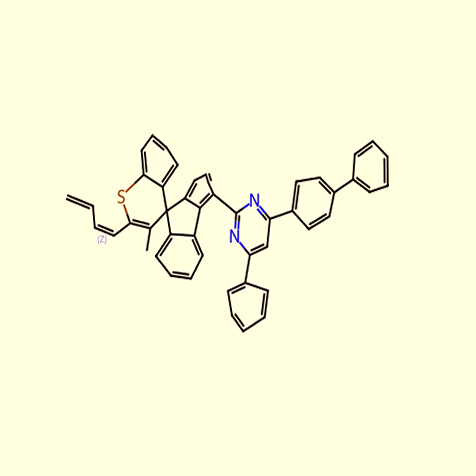 C=C/C=C\C1=C(C)C2(c3ccccc3S1)c1ccccc1-c1c(-c3nc(-c4ccccc4)cc(-c4ccc(-c5ccccc5)cc4)n3)cccc12